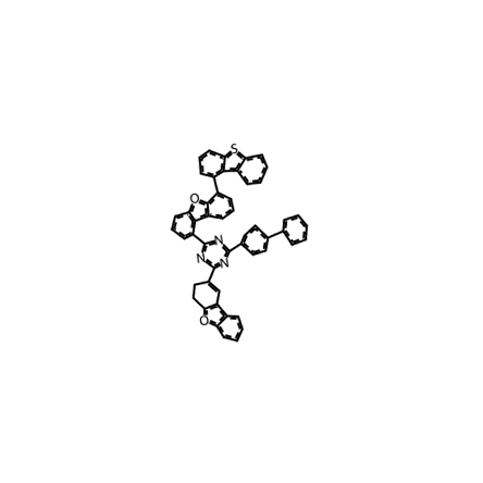 C1=C(c2nc(-c3ccc(-c4ccccc4)cc3)nc(-c3cccc4oc5c(-c6cccc7sc8ccccc8c67)cccc5c34)n2)CCc2oc3ccccc3c21